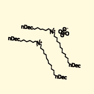 CCCCCCCCCCCCCCCCCCCCCC[N+](C)(C)CCCCCCCCCCCCCCCC.CCCCCCCCCCCCCCCCCCCCCC[N+](C)(C)CCCCCCCCCCCCCCCC.O=S(=O)([O-])[O-]